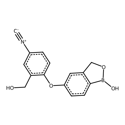 [C-]#[N+]c1ccc(Oc2ccc3c(c2)COB3O)c(CO)c1